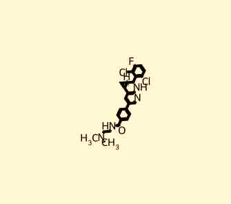 CN(C)CCNC(=O)c1ccc(-c2cnc3c(c2)C2C[C@H]2C(c2c(Cl)ccc(F)c2Cl)N3)cc1